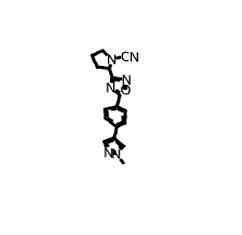 Cn1cc(-c2ccc(-c3nc(C4CCCN4C#N)no3)cc2)cn1